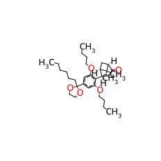 CCCCCCC1(c2cc(OCCCC)c([C@@H]3CC(=O)[C@@H]4C[C@H]3C4(C)C)c(OCCCC)c2)OCCO1